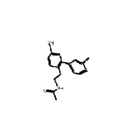 CC(=O)NCCc1ccc(O)cc1-c1cccc(C)c1